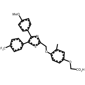 COc1ccc(-c2nc(COc3ccc(OCC(=O)O)cc3C)sc2-c2ccc(C(F)(F)F)cc2)cc1